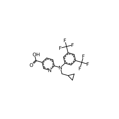 O=C(O)c1ccc(N(CC2CC2)c2cc(C(F)(F)F)cc(C(F)(F)F)c2)nc1